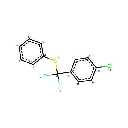 FC(F)(Sc1ccccc1)c1ccc(Cl)cc1